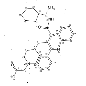 C[C@H](NC(=O)c1c(CN2CCN(CC(=O)O)CC2)c(-c2ccccc2)nc2ccccc12)C1CCCCC1